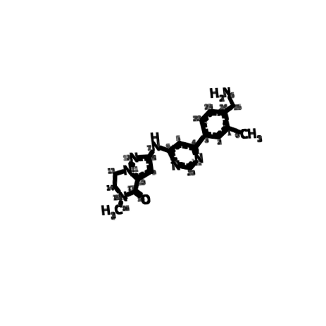 Cc1cc(-c2cc(Nc3cc4n(n3)CCN(C)C4=O)ncn2)ccc1CN